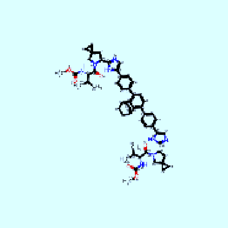 COC(=O)N[C@H](C(=O)N1CC2(CC2)CC1c1ncc(-c2ccc(-c3ccc(-c4ccc(-c5cnc([C@@H]6CC7(CC7)CN6C(=O)[C@@H](NC(=O)OC)C(C)C)[nH]5)cc4)c4c3C3CCC4CC3)cc2)[nH]1)C(C)C